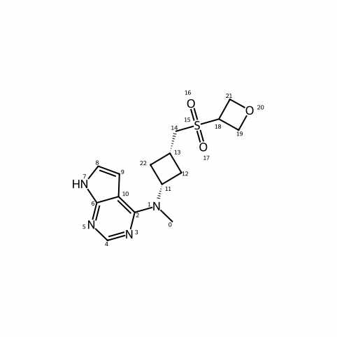 CN(c1ncnc2[nH]ccc12)[C@H]1C[C@@H](CS(=O)(=O)C2COC2)C1